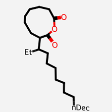 CCCCCCCCCCCCCCCCCC(CC)C1CCCCCCC(=O)OC1=O